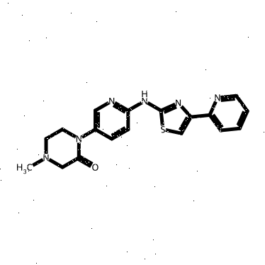 CN1CCN(c2ccc(Nc3nc(-c4ccccn4)cs3)nc2)C(=O)C1